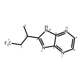 CC(CC(F)(F)F)c1nc2nccnc2[nH]1